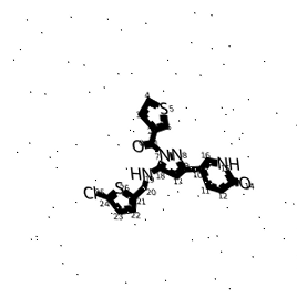 O=C(c1ccsc1)n1nc(-c2ccc(=O)[nH]c2)cc1NCc1ccc(Cl)s1